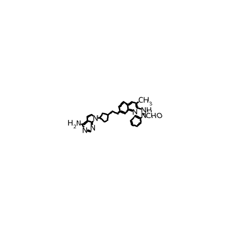 Cc1cc2ccc(CCC3CCC(n4ccc5c(N)ncnc54)C3)cc2nc1NN(C=O)c1ccccc1